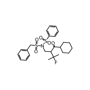 CC(C)(F)C(CN(S(=O)(=O)Cc1ccccc1)S(=O)(=O)c1ccccc1)C(=O)C1CCCCC1